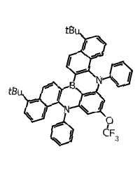 CC(C)(C)c1cccc2c3c(ccc12)B1c2ccc4c(C(C)(C)C)cccc4c2N(c2ccccc2)c2cc(OC(F)(F)F)cc(c21)N3c1ccccc1